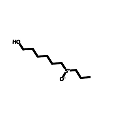 CCC[S+]([O-])CCCCCCO